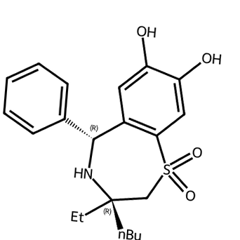 CCCC[C@]1(CC)CS(=O)(=O)c2cc(O)c(O)cc2[C@@H](c2ccccc2)N1